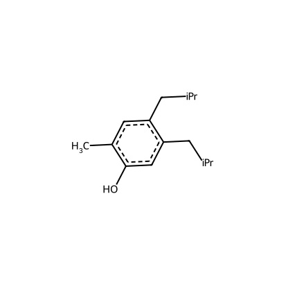 Cc1cc(CC(C)C)c(CC(C)C)cc1O